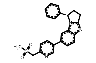 CS(=O)(=O)Cc1ccc(-c2ccc3nc4n(c3c2)[C@@H](c2ccccc2)CC4)cn1